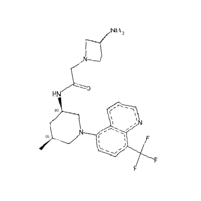 C[C@H]1C[C@@H](NC(=O)CN2CC(N)C2)CN(c2ccc(C(F)(F)F)c3ncccc23)C1